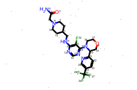 NC(=O)CN1CCC(CNc2ncnc(N3CCOCC3c3ccc(C(F)(F)F)cn3)c2F)CC1